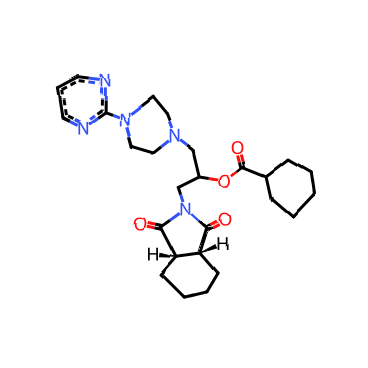 O=C(OC(CN1CCN(c2ncccn2)CC1)CN1C(=O)[C@H]2CCCC[C@H]2C1=O)C1CCCCC1